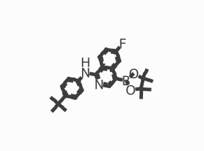 CC(C)(C)c1ccc(Nc2ncc(B3OC(C)(C)C(C)(C)O3)c3cc(F)ccc23)cc1